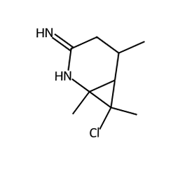 CC1CC(=N)NC2(C)C1C2(C)Cl